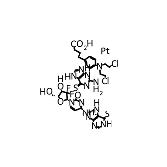 Nc1ccn([C@@H]2O[C@H](CO)[C@@H](O)C2(F)F)c(=O)n1.Nc1nc(=S)c2[nH]cnc2[nH]1.O=C(O)CCCc1ccc(N(CCCl)CCCl)cc1.S=c1[nH]cnc2nc[nH]c12.[Pt]